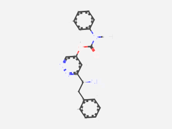 CN(C(=O)Oc1cnnc([C@@H](N)Cc2ccccc2)c1)c1ccccc1